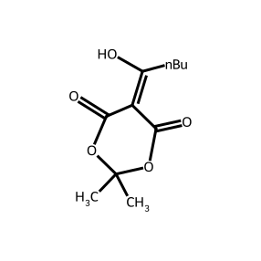 CCCCC(O)=C1C(=O)OC(C)(C)OC1=O